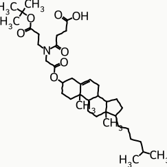 CC(C)CCCCC1CCC2C3CC=C4CC(OC(=O)CN(CCC(=O)OC(C)(C)C)C(=O)CCC(=O)O)CCC4(C)C3CCC12C